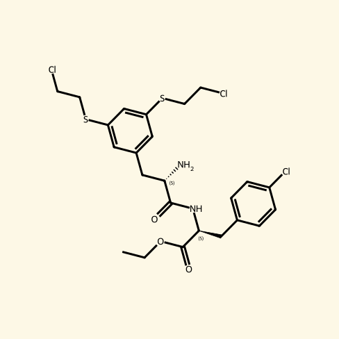 CCOC(=O)[C@H](Cc1ccc(Cl)cc1)NC(=O)[C@@H](N)Cc1cc(SCCCl)cc(SCCCl)c1